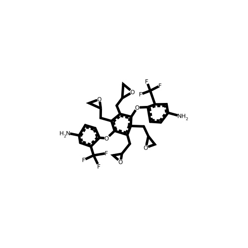 Nc1ccc(Oc2c(CC3CO3)c(CC3CO3)c(Oc3ccc(N)cc3C(F)(F)F)c(CC3CO3)c2CC2CO2)c(C(F)(F)F)c1